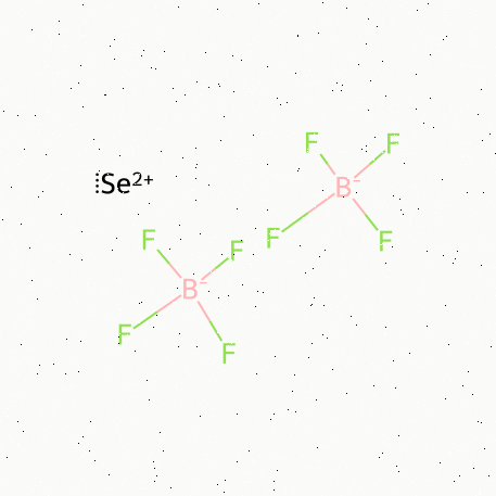 F[B-](F)(F)F.F[B-](F)(F)F.[Se+2]